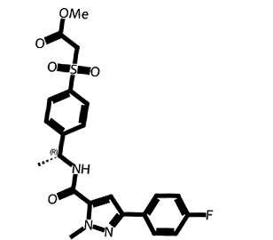 COC(=O)CS(=O)(=O)c1ccc([C@@H](C)NC(=O)c2cc(-c3ccc(F)cc3)nn2C)cc1